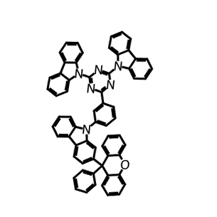 c1ccc(C2(c3ccc4c5ccccc5n(-c5cccc(-c6nc(-n7c8ccccc8c8ccccc87)nc(-n7c8ccccc8c8ccccc87)n6)c5)c4c3)c3ccccc3Oc3ccccc32)cc1